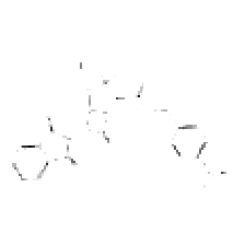 CC1(CCl)SC2C(N3C(=O)c4ccccc4C3=O)C(=O)N2C1C(=O)OCc1ccc([N+](=O)[O-])cc1